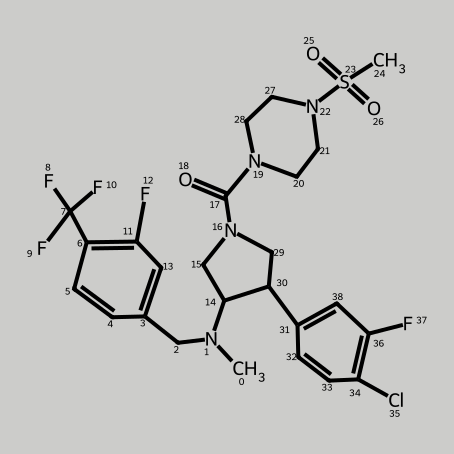 CN(Cc1ccc(C(F)(F)F)c(F)c1)C1CN(C(=O)N2CCN(S(C)(=O)=O)CC2)CC1c1ccc(Cl)c(F)c1